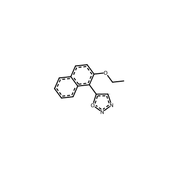 CCOc1ccc2ccccc2c1-c1[c]nno1